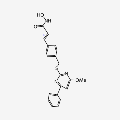 COc1cc(-c2ccccc2)nc(SCc2ccc(/C=C/C(=O)NO)cc2)n1